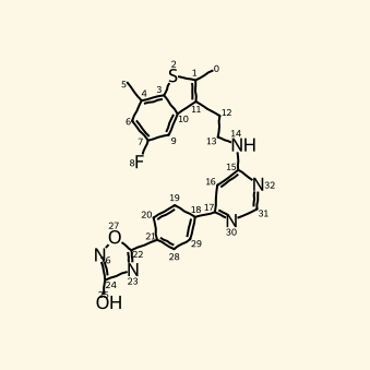 Cc1sc2c(C)cc(F)cc2c1CCNc1cc(-c2ccc(-c3nc(O)no3)cc2)ncn1